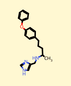 CC(CCCc1ccc(Oc2ccccc2)cc1)NCc1c[nH]cn1